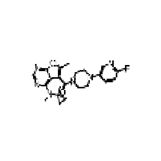 Cc1oc2ncnc(N(C)C3(C)CC3)c2c1C(=O)N1CCN(c2ccc(F)nc2)CC1